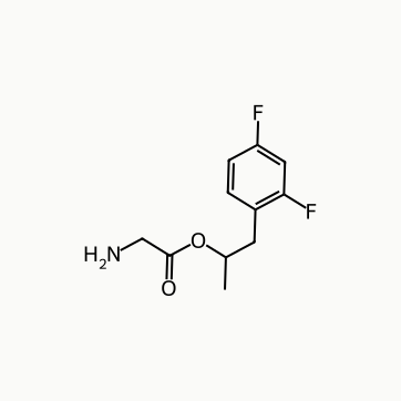 CC(Cc1ccc(F)cc1F)OC(=O)CN